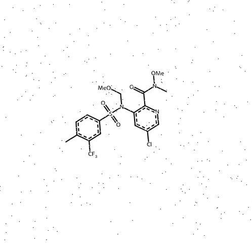 COCN(c1cc(Cl)cnc1C(=O)N(C)OC)S(=O)(=O)c1ccc(C)c(C(F)(F)F)c1